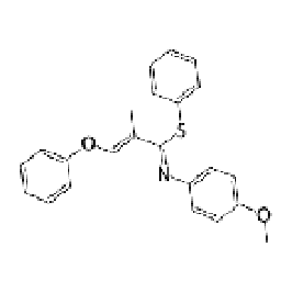 COc1ccc(N=C(Sc2ccccc2)C(C)=COc2ccccc2)cc1